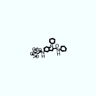 CC(CC(=O)Nc1ccc2c(c1)cc(C(=O)Nc1ccccc1)n2-c1ccccc1)(S(C)(=O)=O)S(C)(=O)=O